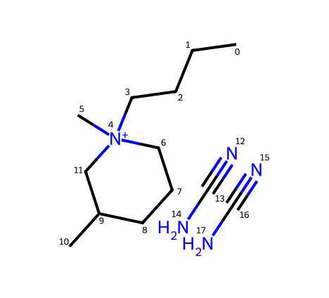 CCCC[N+]1(C)CCCC(C)C1.N#CN.N#CN